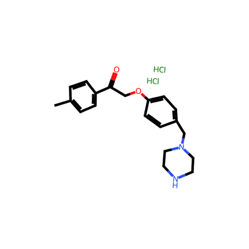 Cc1ccc(C(=O)COc2ccc(CN3CCNCC3)cc2)cc1.Cl.Cl